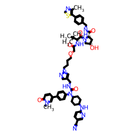 Cc1ncsc1-c1ccc(CNC(=O)[C@@H]2C[C@@H](O)CN2C(=O)[C@@H](NC(=O)COCCCCn2cc(CNC(=O)N(c3ccc(-c4ccc(=O)n(C)c4)cc3)C3CCC(Nc4ccc(C#N)cn4)CC3)cn2)C(C)(C)C)cc1